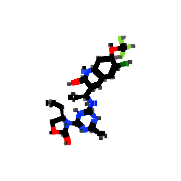 CC[C@H]1COC(=O)N1c1nc(C)nc(N[C@@H](C)c2cc3cc(Cl)c(OC(F)(F)F)cc3[nH]c2=O)n1